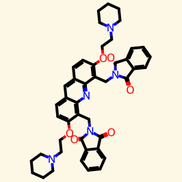 O=C1c2ccccc2C(=O)N1Cc1c(OCCN2CCCCC2)ccc2cc3ccc(OCCN4CCCCC4)c(CN4C(=O)c5ccccc5C4=O)c3nc12